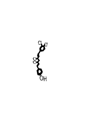 O=C(C=Cc1ccc(O)cc1)CC(=O)C=Cc1ccc(Cl)c(Cl)c1